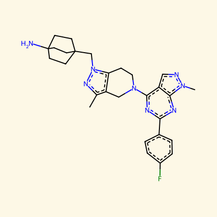 Cc1nn(CC23CCC(N)(CC2)CC3)c2c1CN(c1nc(-c3ccc(F)cc3)nc3c1cnn3C)CC2